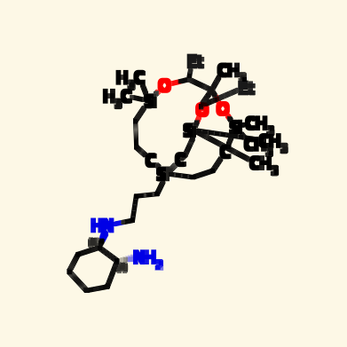 CCC1O[Si](C)(C)CCC[Si]2(CCCN[C@@H]3CCCC[C@H]3N)CCC[Si](C)(C)OC(CC)C1(C)O[Si](C)(C)CCC2